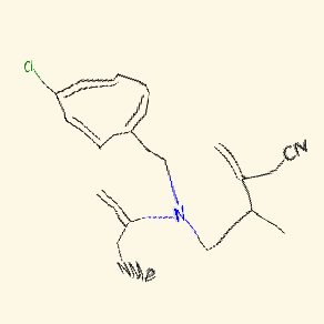 C=C(C#N)C(C)CN(Cc1ccc(Cl)cc1)C(=C)NC